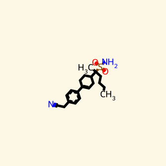 CCCCC(C)(C1CC=C(c2ccc(CC#N)cc2)CC1)S(N)(=O)=O